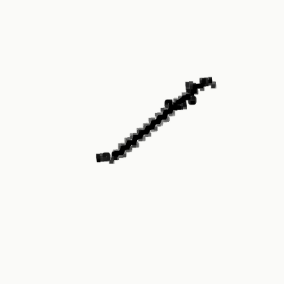 BCCCNC(=O)CCCNC(=O)CCCCCCCCCCCCCCCCCCC(=O)O